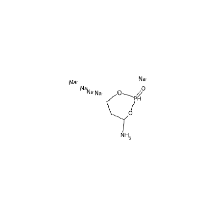 NC1CCO[PH](=O)O1.[Na].[Na].[Na].[Na].[Na]